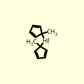 C[C]1([Hf][C]2(C)C=CC=C2)C=CC=C1